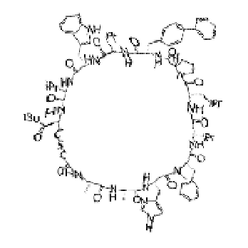 CC(C)C[C@@H]1NC(=O)[C@H](C(C)C)NC(=O)[C@H](Cc2ccccc2)N(C)C(=O)[C@H](Cc2c[nH]cn2)NC(=O)[C@H](C)NC(=O)[C@H](C)NC(=O)CSC[C@@H](C(=O)C(C)(C)C)NC(=O)C(C(C)C)NC(=O)[C@H](Cc2c[nH]c3ccccc23)NC(=O)C(C(C)C)NC(=O)[C@H](Cc2ccc(-c3ccccc3)cc2)NC(=O)[C@@H]2CCCN2C1=O